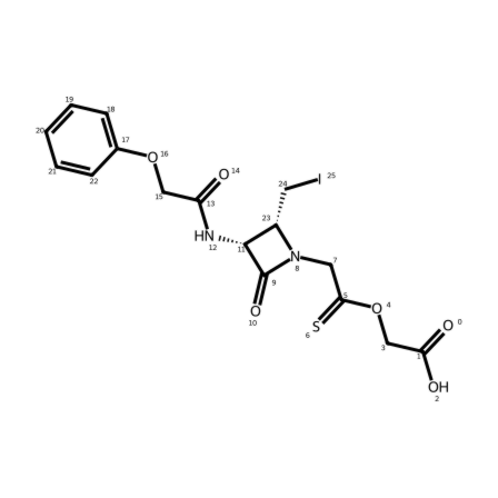 O=C(O)COC(=S)CN1C(=O)[C@H](NC(=O)COc2ccccc2)[C@@H]1CI